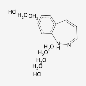 C1=Cc2ccccc2NN=C1.Cl.Cl.O.O.O.O.O.O